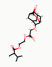 CC(C)C(C)C(=O)OCCOC(=O)COC1C2CC3CC(C2)C(=O)OC1C3